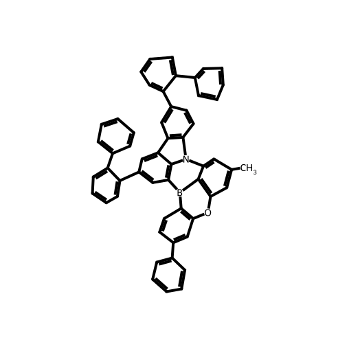 Cc1cc2c3c(c1)-n1c4ccc(-c5ccccc5-c5ccccc5)cc4c4cc(-c5ccccc5-c5ccccc5)cc(c41)B3c1ccc(-c3ccccc3)cc1O2